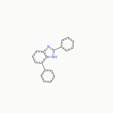 c1ccc(-c2nc3cccc(-c4ccccc4)c3[nH]2)cc1